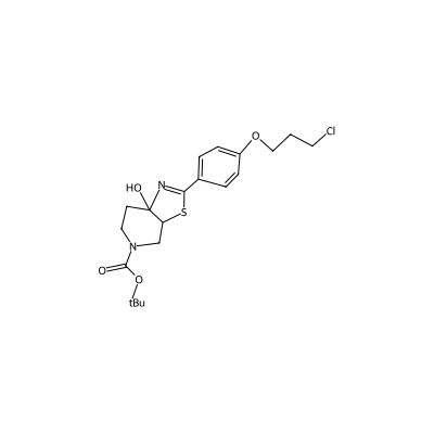 CC(C)(C)OC(=O)N1CCC2(O)N=C(c3ccc(OCCCCl)cc3)SC2C1